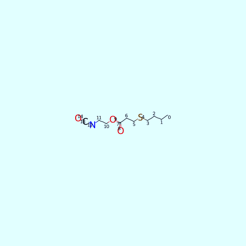 CCCCSCCC(=O)OCCN=C=O